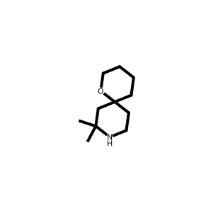 CC1(C)CC2(CCCCO2)CCN1